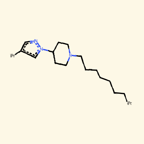 CC(C)CCCCCCCN1CCC(n2cc(C(C)C)cn2)CC1